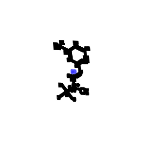 CC(C)(C)[S@@+]([O-])/N=C/c1cc(Br)ccn1